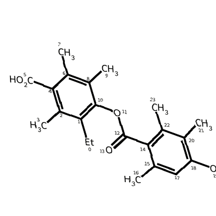 CCc1c(C)c(C(=O)O)c(C)c(C)c1OC(=O)c1c(C)cc(O)c(C)c1C